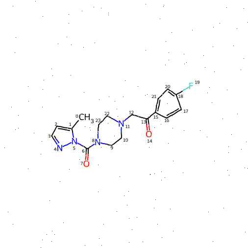 Cc1ccnn1C(=O)N1CCN(CC(=O)c2ccc(F)cc2)CC1